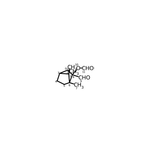 CC1(C)C2CCC1(C)C(C=O)(O[C]=O)C2